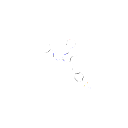 CCOC(=O)c1sc(Nc2nc(NCc3ccc(S(N)(=O)=O)cc3)c(C)c(N3CCOCC3)n2)nc1C